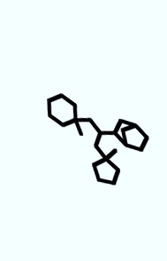 CC1(CC(CC2(C)CCCC2)C2CC3CCC2C3)CCCCC1